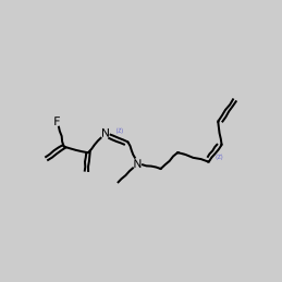 C=C/C=C\CCN(C)/C=N\C(=C)C(=C)F